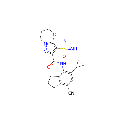 N#Cc1cc(C2CC2)c(NC(=O)c2nn3c(c2S(=N)(N)=O)OCCC3)c2c1CCC2